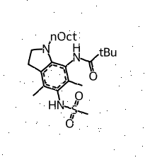 CCCCCCCCN1CCc2c(C)c(NS(C)(=O)=O)c(C)c(NC(=O)C(C)(C)C)c21